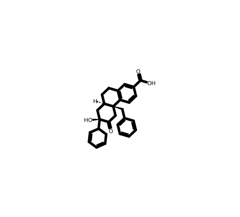 O=C(O)c1ccc2c(c1)CC[C@@H]1C[C@@](O)(C3C=CC=CC3)C(=O)C[C@@]21Cc1ccccc1